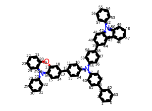 c1ccc(-c2ccc(N(c3ccc(-c4ccc5c(c4)Oc4ccccc4N5c4ccccc4)cc3)c3ccc(-c4ccc5c(c4)c4ccccc4n5-c4ccccc4)cc3)cc2)cc1